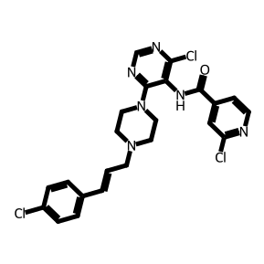 O=C(Nc1c(Cl)ncnc1N1CCN(C/C=C/c2ccc(Cl)cc2)CC1)c1ccnc(Cl)c1